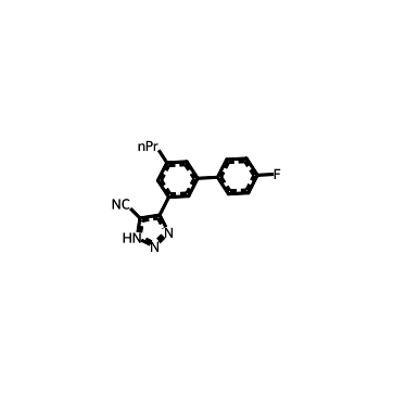 CCCc1cc(-c2ccc(F)cc2)cc(-c2nn[nH]c2C#N)c1